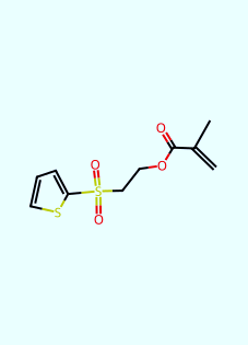 C=C(C)C(=O)OCCS(=O)(=O)c1cccs1